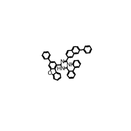 c1ccc(-c2ccc3ccc(C4=NC(c5cc(-c6ccccc6)cc6oc7ccccc7c56)NC(c5ccccc5-c5ccccc5)N4)cc3c2)cc1